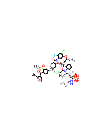 C#CC(C)Oc1cc(N2C(=O)C3=C(CCCC3)C2=O)c(F)cc1Cl.CCc1cccc(C)c1N(C(=O)CCl)C(C)COC.CS(=O)(=O)c1cc(C(F)(F)F)ccc1C(=O)c1cnoc1C1CC1.O=C(O)CNCP(=O)(O)O